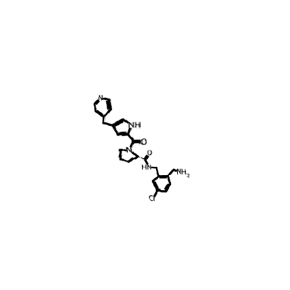 NCc1ccc(Cl)cc1CNC(=O)[C@@H]1CCCN1C(=O)c1cc(Cc2ccncc2)c[nH]1